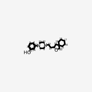 Oc1cccc(N2CCN(CCC3CC4(CCCCC4)CO3)CC2)c1